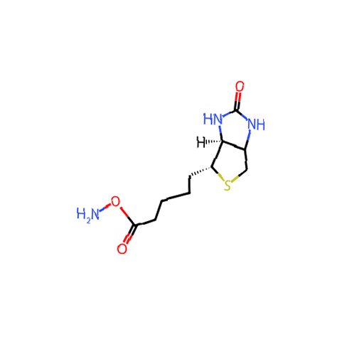 NOC(=O)CCCC[C@H]1SCC2NC(=O)N[C@@H]21